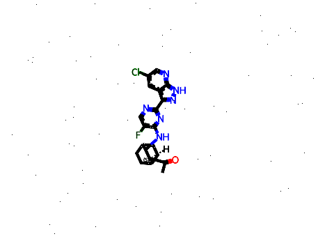 CC(=O)[C@H]1C2CCC(CC2)C1Nc1nc(-c2n[nH]c3ncc(Cl)cc23)ncc1F